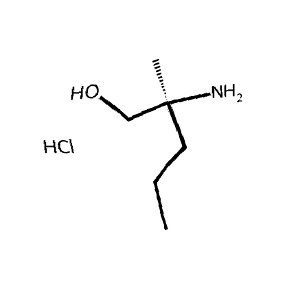 CCC[C@](C)(N)CO.Cl